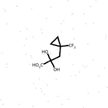 O=C(O)C(O)(O)CC1(C(F)(F)F)CC1